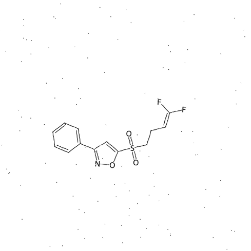 O=S(=O)(CCC=C(F)F)c1cc(-c2ccccc2)no1